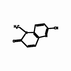 Cn1c(=O)ccc2nc(C#N)ccc21